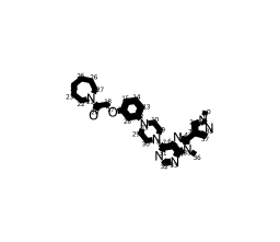 Cn1cc(-c2nc3c(N4CCN(c5cccc(OCC(=O)N6CCCCCC6)c5)CC4)ncnc3n2C)cn1